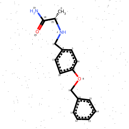 C[C@H](NCc1ccc(OCc2ccccc2)cc1)C(N)=O